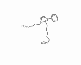 CCCCCCCCCCCCCCCc1n(-c2ccccc2)cc[n+]1CCCCCCCCCCCCC